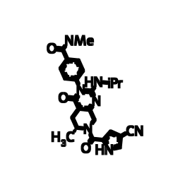 CNC(=O)c1ccc(-n2c(NC(C)C)nc3c(c2=O)C[C@@H](C)N(C(=O)c2cc(C#N)c[nH]2)C3)cc1